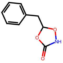 O=C1NOC(Cc2ccccc2)O1